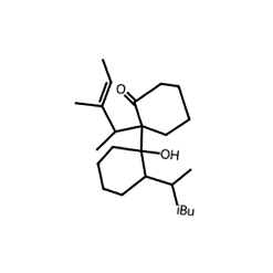 CC=C(C)C(C)C1(C2(O)CCCCC2C(C)C(C)CC)CCCCC1=O